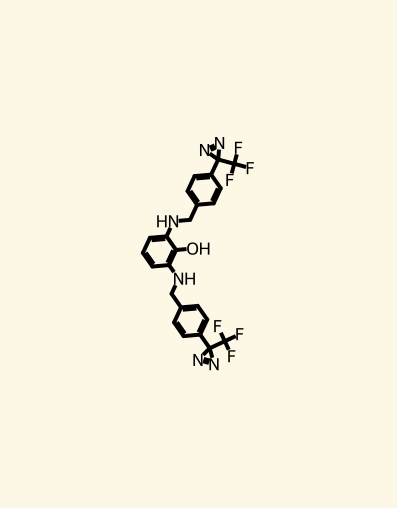 Oc1c(NCc2ccc(C3(C(F)(F)F)N=N3)cc2)cccc1NCc1ccc(C2(C(F)(F)F)N=N2)cc1